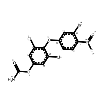 NC(=O)Oc1cc(Cl)c(Oc2ccc([N+](=O)[O-])c(Br)c2)c(Cl)c1